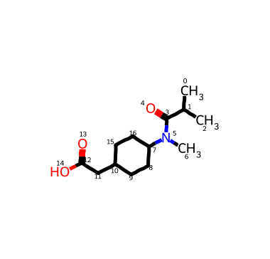 CC(C)C(=O)N(C)C1CCC(CC(=O)O)CC1